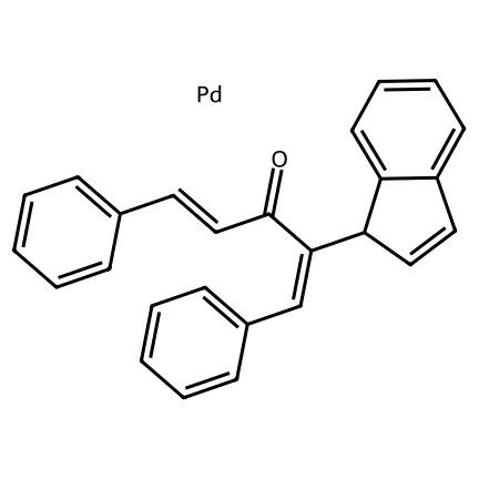 O=C(C=Cc1ccccc1)C(=Cc1ccccc1)C1C=Cc2ccccc21.[Pd]